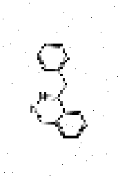 c1ccc(Cc2nncc3ccccc23)cc1